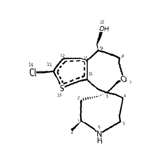 C[C@H]1C[C@@]2(CCN1)OC[C@H](O)c1cc(Cl)sc12